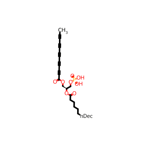 CC#CC#CC#CC#CC#CC(=O)OC[C@@H](COP(=O)(O)O)OC(=O)CCCCCCCCCCCCCCC